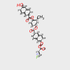 Cc1cc(OC(=O)c2ccc3cc(OOC(=O)/C=C/F)ccc3c2)ccc1OC(=O)c1ccc2cc(O)ccc2c1